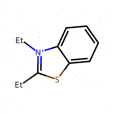 CCc1sc2ccccc2[n+]1CC